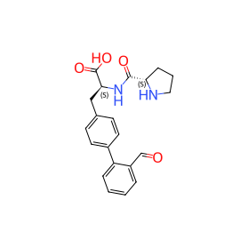 O=Cc1ccccc1-c1ccc(C[C@H](NC(=O)[C@@H]2CCCN2)C(=O)O)cc1